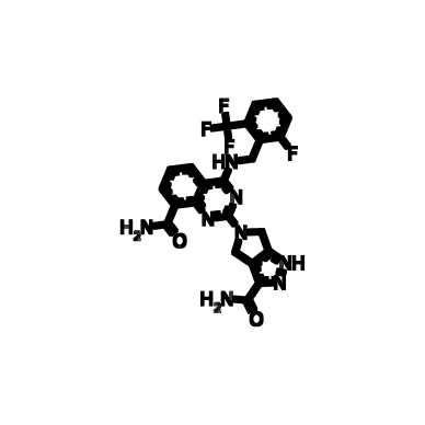 NC(=O)c1n[nH]c2c1CN(c1nc(NCc3c(F)cccc3C(F)(F)F)c3cccc(C(N)=O)c3n1)C2